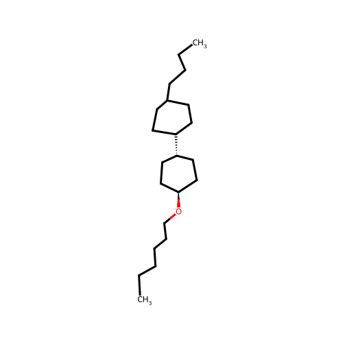 CCCCCCO[C@H]1CC[C@H](C2CCC(CCCC)CC2)CC1